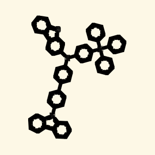 c1ccc([Si](c2ccccc2)(c2ccccc2)c2ccc(N(c3ccc(-c4ccc(-n5c6ccccc6c6ccccc65)cc4)cc3)c3ccc4c(c3)oc3ccccc34)cc2)cc1